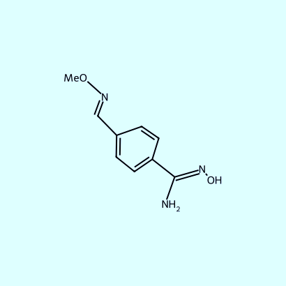 CON=Cc1ccc(C(N)=NO)cc1